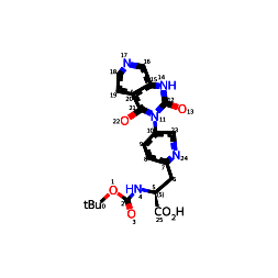 CC(C)(C)OC(=O)N[C@@H](Cc1ccc(-n2c(=O)[nH]c3cnccc3c2=O)cn1)C(=O)O